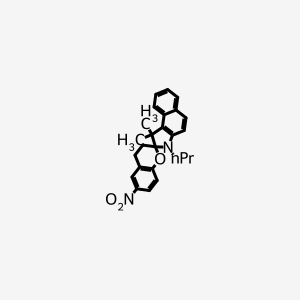 CCCN1c2ccc3ccccc3c2C(C)(C)C12CCc1cc([N+](=O)[O-])ccc1O2